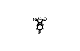 CC1CC2CC(C1)C1C(=O)OC(=O)C21